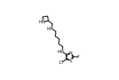 Fc1nc(NCCCCCNCC2CCN2)c(Cl)s1